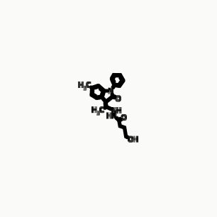 C/C(NNC(=O)CCCO)=C1/C(=O)N(c2ccccc2)c2cc(C)ccc21